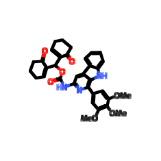 COc1cc(-c2nc(NC(=O)OC(C3=CCCCC3=O)C3=CCCCC3=O)cc3c2[nH]c2ccccc23)cc(OC)c1OC